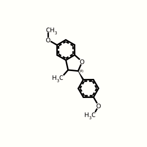 COc1ccc([C@@H]2Oc3ccc(OC)cc3C2C)cc1